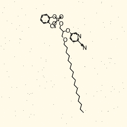 CCCCCCCCCCCCCCCCCCOCC(COP(=O)(OC)Oc1ccccc1Cl)Oc1ccc(C#N)nc1